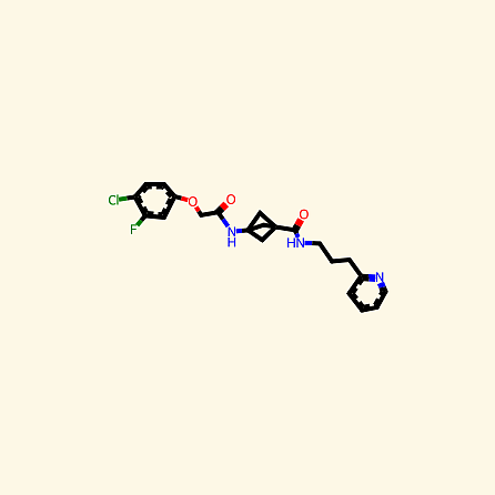 O=C(COc1ccc(Cl)c(F)c1)NC12CC(C(=O)NCCCc3ccccn3)(C1)C2